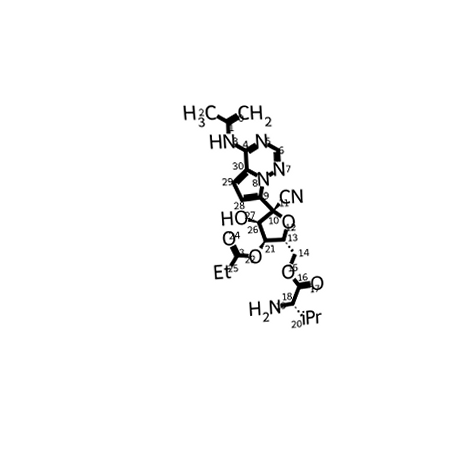 C=C(C)Nc1ncnn2c([C@]3(C#N)O[C@H](COC(=O)[C@@H](N)C(C)C)[C@@H](OC(=O)CC)[C@H]3O)ccc12